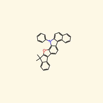 CC1(C)c2ccccc2-c2c1oc1c2ccc2c3c4ccccc4ccc3n(-c3ccccc3)c21